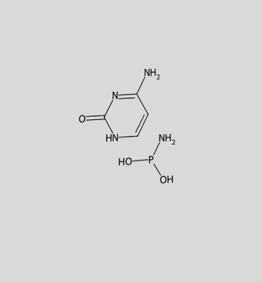 NP(O)O.Nc1cc[nH]c(=O)n1